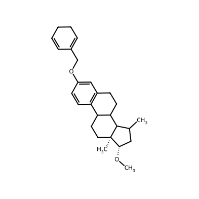 CO[C@H]1CC(C)C2C3CCc4cc(OCC5=CCCC=C5)ccc4C3CC[C@@]21C